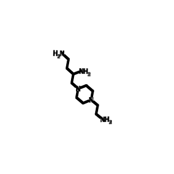 NCCC(N)CN1CCN(CCN)CC1